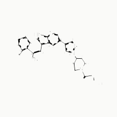 CC(C)(C)OC(=O)N1CCC(n2cc(-c3cnc4[nH]cc(C=C(C#N)c5ccccc5Cl)c4c3)cn2)CC1